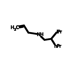 C=CCNCC(CCC)C(C)C